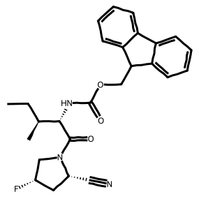 CC[C@H](C)[C@H](NC(=O)OCC1c2ccccc2-c2ccccc21)C(=O)N1C[C@@H](F)C[C@H]1C#N